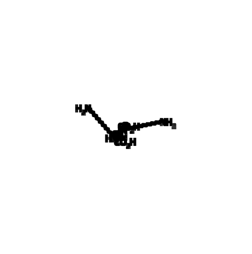 NCCCCCCCCCCCCCCCCC(=O)NC(CSSCC(NC(=O)CCCCCCCCCCCCCCCCN)C(=O)O)C(=O)O